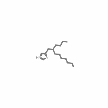 CCCCCCCC(CCCC)Cc1c[nH]cn1